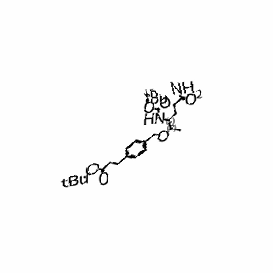 C[C@@H](OCc1ccc(CCC(=O)OC(C)(C)C)cc1)[C@H](CCC(N)=O)NC(=O)OC(C)(C)C